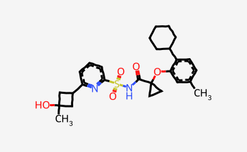 Cc1ccc(C2CCCCC2)c(OC2(C(=O)NS(=O)(=O)c3cccc(C4CC(C)(O)C4)n3)CC2)c1